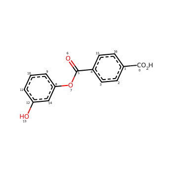 O=C(O)c1ccc(C(=O)Oc2cccc(O)c2)cc1